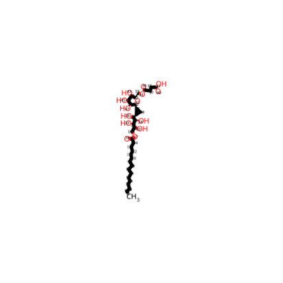 CCCCCCCCCCCCCCCC(=O)OCC(O)[C@@H](O)[C@H](O)C(O)[C@H]1CC1[C@@H]1O[C@H](COC(=O)CCC(=O)O)[C@H](O)C(O)C1O